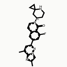 Cc1cn2nc(-c3cc(F)c4c(=O)n([C@@H]5CCNC6(CC6)C5)ccc4c3)cc(C)c2n1